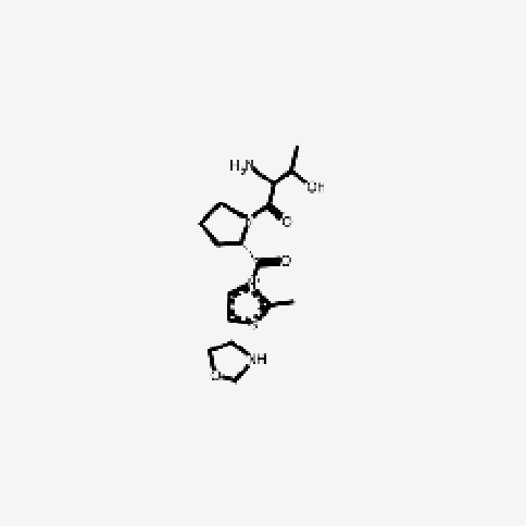 C1COCN1.Cc1scc[n+]1C(=O)[C@@H]1CCCN1C(=O)C(N)C(C)O